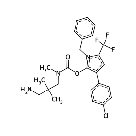 CN(CC(C)(C)CN)C(=O)Oc1c(-c2ccc(Cl)cc2)cc(C(F)(F)F)n1Cc1ccccc1